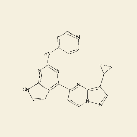 c1cc(Nc2nc(-c3ccn4ncc(C5CC5)c4n3)c3cc[nH]c3n2)ccn1